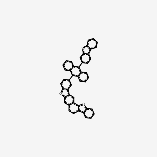 c1ccc2c(c1)oc1c3cc4c(cc3ccc21)oc1ccc(-c2c3ccccc3c(-c3ccc5c(c3)sc3ccccc35)c3ccccc23)cc14